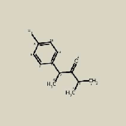 CC(C)C(=O)C(C)c1ccc(I)cc1